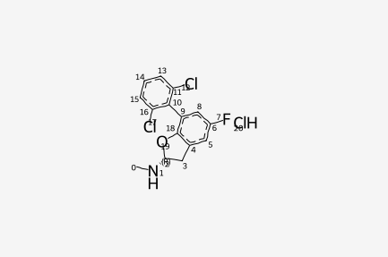 CN[C@H]1Cc2cc(F)cc(-c3c(Cl)cccc3Cl)c2O1.Cl